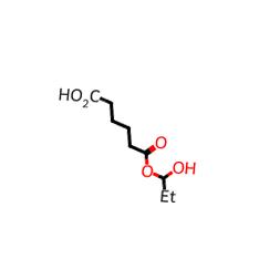 CCC(O)OC(=O)CCCCC(=O)O